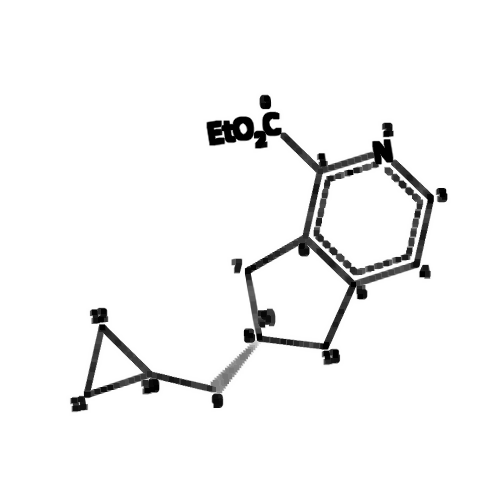 CCOC(=O)c1nccc2c1C[C@@H](CC1CC1)C2